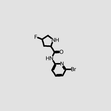 O=C(Nc1cccc(Br)n1)C1CC(F)CN1